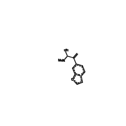 C=C(c1ccc2ccoc2c1)C(CCC)NC